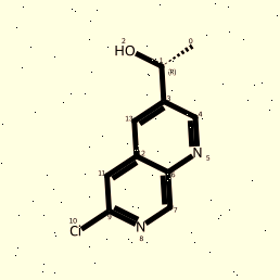 C[C@@H](O)c1cnc2cnc(Cl)cc2c1